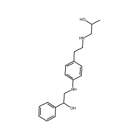 CC(O)CNCCc1ccc(NCC(O)c2ccccc2)cc1